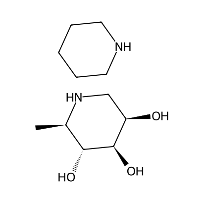 C1CCNCC1.C[C@H]1NC[C@@H](O)[C@@H](O)[C@@H]1O